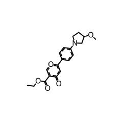 CCOC(=O)c1coc(-c2ccc(N3CC[C@@H](OC)C3)cc2)cc1=O